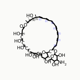 CC1OC(O[C@H]2/C=C/C=C/C=C/C=C/C=C/C=C/C=C/[C@H](C)[C@@H](O)[C@@H](C)[C@H](C)OC(=O)C[C@H](O)C[C@H](O)C[C@H](O)CC[C@@H](O)[C@H](O)C[C@]3(O)C[C@H](O)[C@@H](C)C(C2)O3)C(O)C(N)C1O